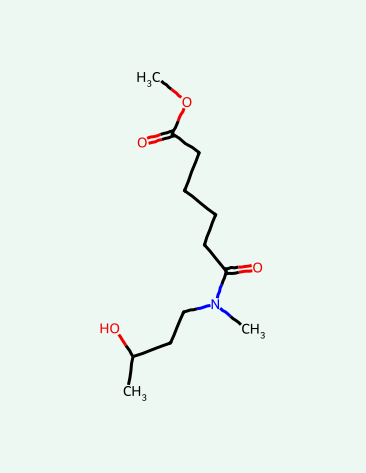 COC(=O)CCCCC(=O)N(C)CCC(C)O